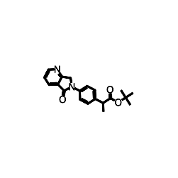 CC(C(=O)OC(C)(C)C)c1ccc(N2Cc3ncccc3C2=O)cc1